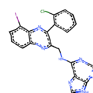 Clc1ccccc1-c1nc2c(I)cccc2nc1CNc1ncnc2[nH]cnc12